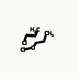 CC=CCl.CCCOCl